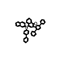 c1ccc(-c2ccc(N(c3ccc4ccccc4c3)c3cc4c(oc5c(-c6ccccc6)ccc(-c6ccccc6)c54)c4ccccc34)cc2)cc1